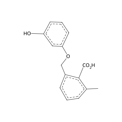 Cc1cccc(COc2cccc(O)c2)c1C(=O)O